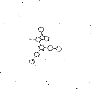 N#Cc1cc(-c2nc(-c3ccc(-c4ccccc4)cc3)nc(-c3ccc(-c4ccccc4)cc3)n2)c2c3ccccc3n(-c3ccccc3)c2c1